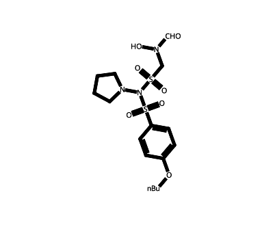 CCCCOc1ccc(S(=O)(=O)N(N2CCCC2)S(=O)(=O)CN(O)C=O)cc1